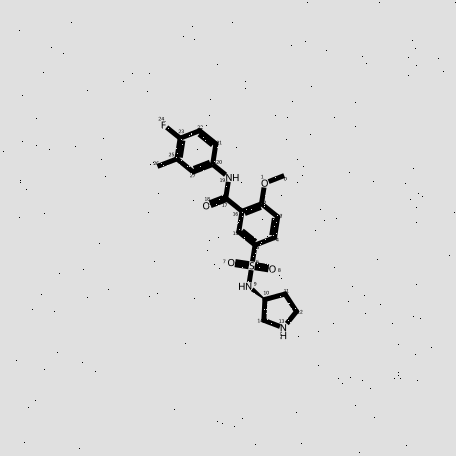 COc1ccc(S(=O)(=O)N[C@H]2CCNC2)cc1C(=O)Nc1ccc(F)c(C)c1